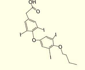 CCCCOc1c(I)cc(Oc2c(I)cc(CC(=O)O)cc2I)cc1I